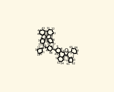 c1ccc(-c2oc3c4ccc(-c5ccc(N(c6ccccc6)c6ccc7c(c6)C6(c8ccccc8-c8ccccc86)c6ccccc6-7)cc5)cc4c4ccccc4c3c2-c2ccccc2)cc1